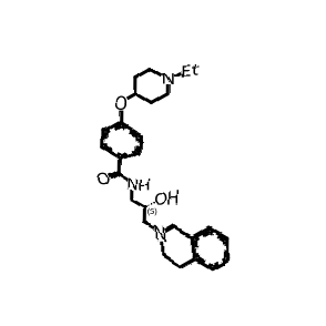 CCN1CCC(Oc2ccc(C(=O)NC[C@H](O)CN3CCc4ccccc4C3)cc2)CC1